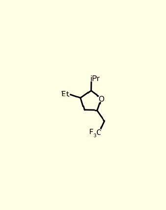 CCC1CC(CC(F)(F)F)OC1C(C)C